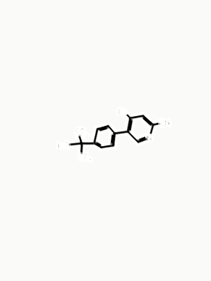 CCc1cc(C#N)ncc1-c1ccc(C(O)(C(F)(F)F)C(F)(F)F)cc1